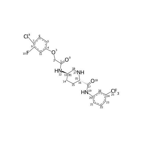 O=C(COc1ccc(Cl)c(F)c1)N[C@@H]1CC[C@@H](C(=O)Nc2cccc(C(F)(F)F)c2)NC1